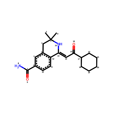 CC1(C)Cc2cc(C(N)=O)ccc2/C(=C/C(=O)C2CCCCC2)N1